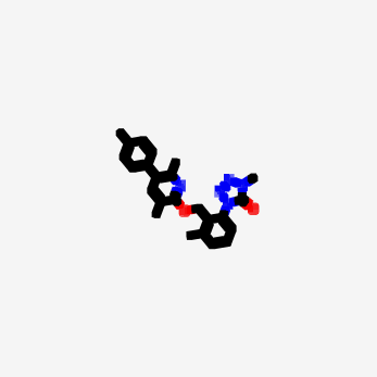 Cc1ccc(-c2cc(C)c(OCc3c(C)cccc3-n3nnn(C)c3=O)nc2C)cc1